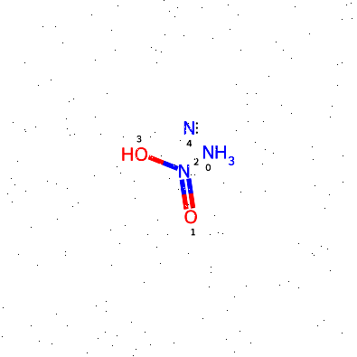 N.O=NO.[N]